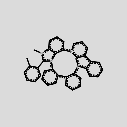 Cc1ccccc1-c1n2c3ccccc3c3ccccc3n3c4ccccc4c4ccc[n+](c5cccc(c52)[n+]1C)c43